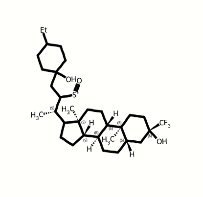 CCC1CCC(O)(CC([S+]=O)[C@@H](C)C2CC[C@H]3[C@@H]4CC[C@H]5C[C@](O)(C(F)(F)F)CC[C@]5(C)[C@H]4CC[C@]23C)CC1